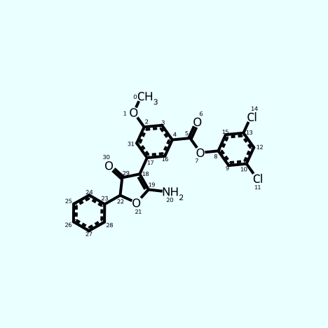 COc1cc(C(=O)Oc2cc(Cl)cc(Cl)c2)cc(C2=C(N)OC(c3ccccc3)C2=O)c1